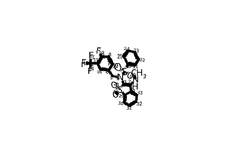 CNC1=C(N(Cc2ccc(F)c(C(F)(F)F)c2)S(=O)(=O)c2ccccc2)S(=O)(=O)c2ccccc21